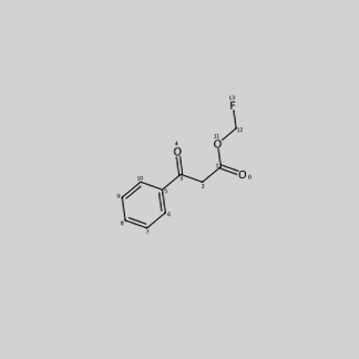 O=C(CC(=O)c1ccccc1)OCF